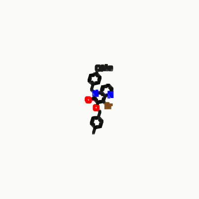 COc1ccc(Cn2c(=O)c(OCc3ccc(C)cc3)c(Br)c3ncccc32)cc1